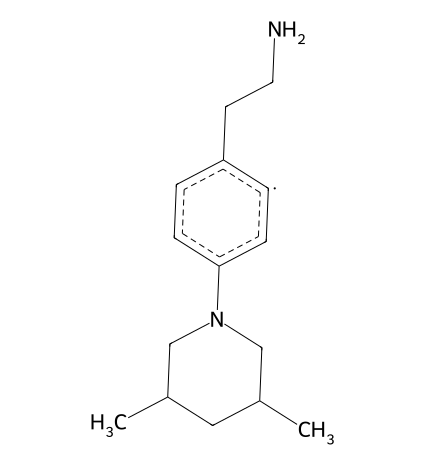 CC1CC(C)CN(c2c[c]c(CCN)cc2)C1